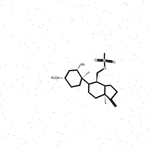 C=C1CCC2[C@H](COS(C)(=O)=O)C([C@@]3(C)CC[C@H](OC(C)=O)C[C@@H]3CCC)CC[C@]12C